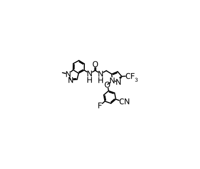 Cn1ncc2c(NC(=O)NCc3cc(C(F)(F)F)nn3Oc3cc(F)cc(C#N)c3)cccc21